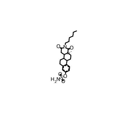 CCCCCCN1C(=O)CC2C3CCc4cc(OS(N)(=O)=O)ccc4C3CC[C@]2(C)C1=O